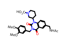 COc1ccc(Cn2c(=O)c3cc(CNC(C)=O)ccc3n(C3CCCN(C(=O)O)C3)c2=O)cc1OC